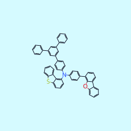 c1ccc(-c2cc(-c3ccccc3)cc(-c3ccc(N(c4ccc(-c5cccc6c5oc5ccccc56)cc4)c4cccc5sc6ccccc6c45)cc3)c2)cc1